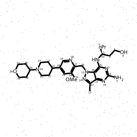 CCC[C@@H](CCO)Nc1nc(N)nc2c(C)nn(Cc3ncc(C4CCN(C5CCOCC5)CC4)cc3OC)c12